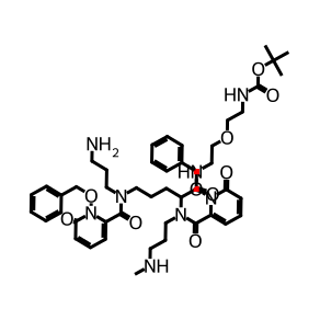 CNCCCN(C(=O)c1cccc(=O)n1OCc1ccccc1)C(CCCN(CCCN)C(=O)c1cccc(=O)n1OCc1ccccc1)C(=O)NCCOCCNC(=O)OC(C)(C)C